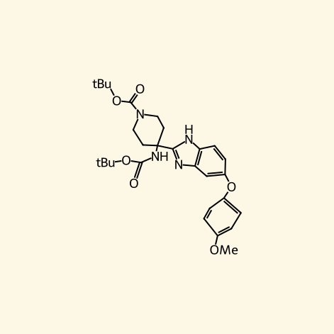 COc1ccc(Oc2ccc3[nH]c(C4(NC(=O)OC(C)(C)C)CCN(C(=O)OC(C)(C)C)CC4)nc3c2)cc1